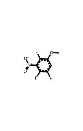 COc1cc(F)c(F)c([N+](=O)[O-])c1F